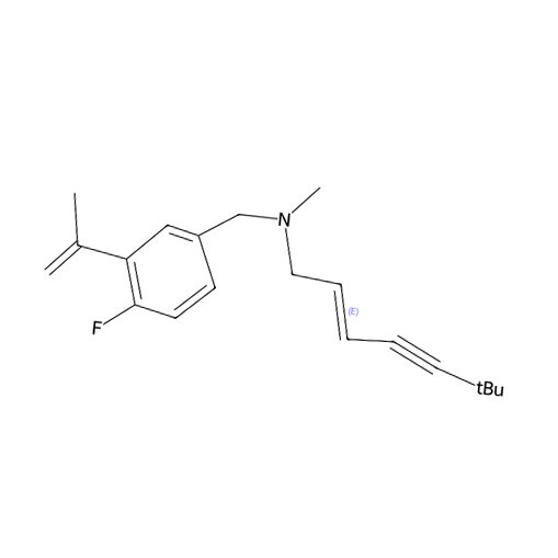 C=C(C)c1cc(CN(C)C/C=C/C#CC(C)(C)C)ccc1F